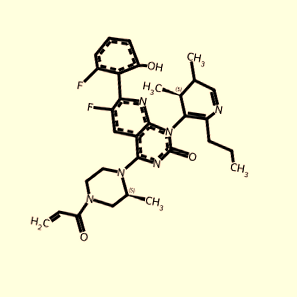 C=CC(=O)N1CCN(c2nc(=O)n(C3=C(CCC)N=CC(C)[C@@H]3C)c3nc(-c4c(O)cccc4F)c(F)cc23)[C@@H](C)C1